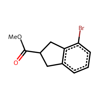 COC(=O)C1Cc2cccc(Br)c2C1